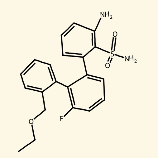 CCOCc1ccccc1-c1c(F)cccc1-c1cccc(N)c1S(N)(=O)=O